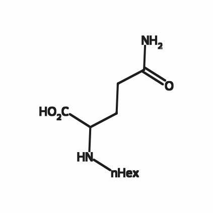 CCCCCCNC(CCC(N)=O)C(=O)O